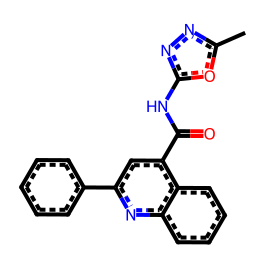 Cc1nnc(NC(=O)c2cc(-c3ccccc3)nc3ccccc23)o1